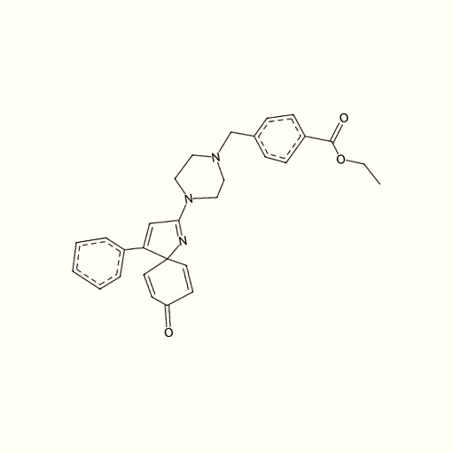 CCOC(=O)c1ccc(CN2CCN(C3=NC4(C=CC(=O)C=C4)C(c4ccccc4)=C3)CC2)cc1